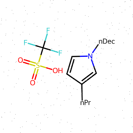 CCCCCCCCCCn1ccc(CCC)c1.O=S(=O)(O)C(F)(F)F